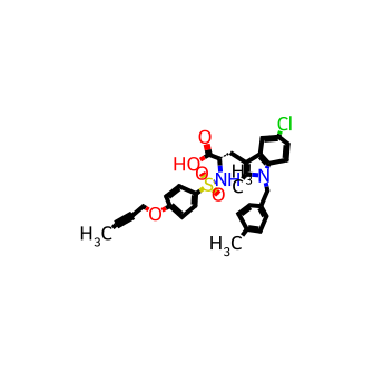 CC#CCOc1ccc(S(=O)(=O)N[C@@H](Cc2c(C)n(Cc3ccc(C)cc3)c3ccc(Cl)cc23)C(=O)O)cc1